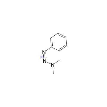 CN(C)/N=N\c1ccccc1